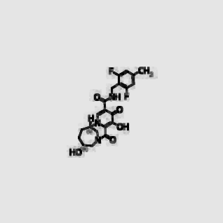 Cc1cc(F)c(CNC(=O)c2cn3c(c(O)c2=O)C(=O)N2C[C@H](O)CC[C@H]3C2)c(F)c1